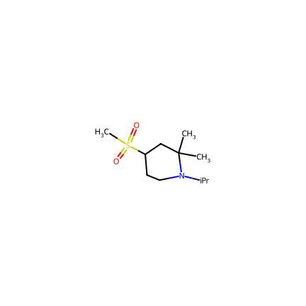 CC(C)N1CCC(S(C)(=O)=O)CC1(C)C